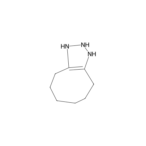 C1CCCC2=C(CC1)NNN2